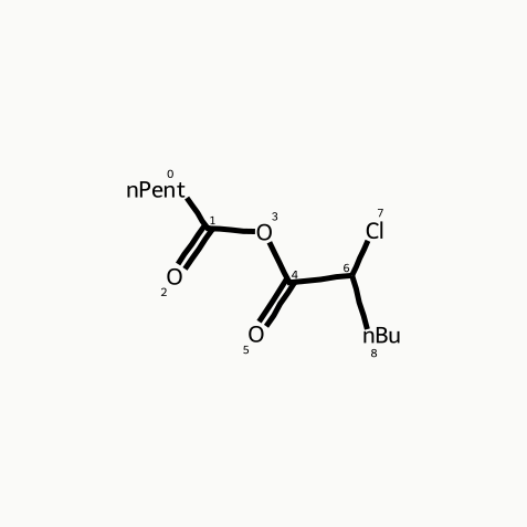 CCCCCC(=O)OC(=O)C(Cl)CCCC